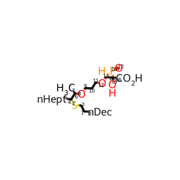 CCCCCCCCCCCCSC(CCCCCCC)C(C)OCCCOCC(O)([PH2]=O)C(=O)O